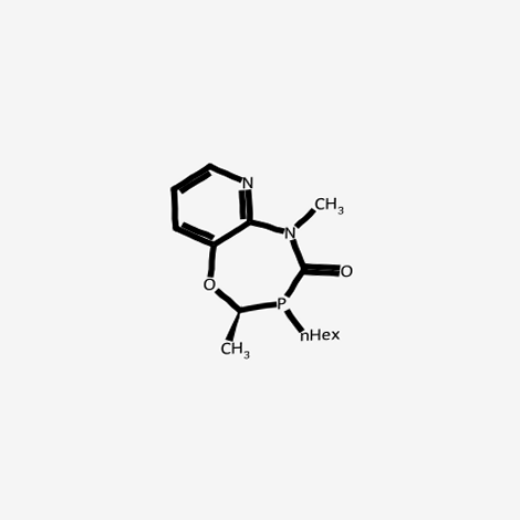 CCCCCCP1C(=O)N(C)c2ncccc2O[C@@H]1C